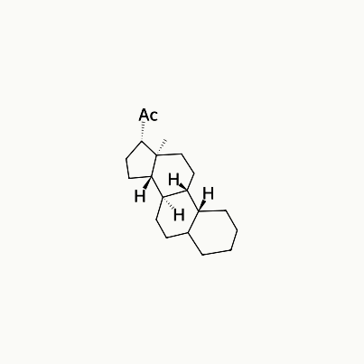 CC(=O)[C@H]1CC[C@H]2[C@@H]3CCC4CCCC[C@H]4[C@H]3CC[C@]12C